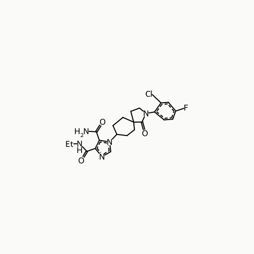 CCNC(=O)c1ncn(C2CCC3(CC2)CCN(c2ccc(F)cc2Cl)C3=O)c1C(N)=O